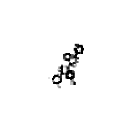 C[C@@H]1C[C@H](C)CN(C(=O)c2cc(Br)ccc2NC(=O)[C@@H]2CCCN2C(=O)c2cccnc2)C1